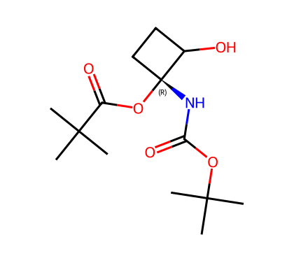 CC(C)(C)OC(=O)N[C@@]1(OC(=O)C(C)(C)C)CCC1O